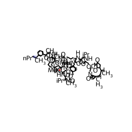 CCC/C=C(\C)c1cccc([C@H](O)[C@@H](C)NC(=O)[C@H](C)[C@@H](OC)[C@@H]2CCCN2C(=O)C[C@@H](OC)[C@H]([C@@H](C)CC)N(C)C(=O)[C@@H](NC(=O)[C@H](C(C)C)N(C)C(=O)OCc2ccc(NC(=O)[C@H](CCCNC(N)=O)NC(=O)[C@@H](NC(=O)COC3CN4C(=O)CC(C4=O)C(C)(I)CC(C)(I)C4CC(=O)N(C3)C4=O)C(C)C)cc2)C(C)C)c1